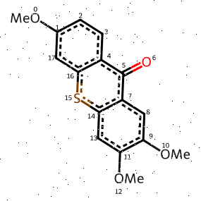 COc1ccc2c(=O)c3cc(OC)c(OC)cc3sc2c1